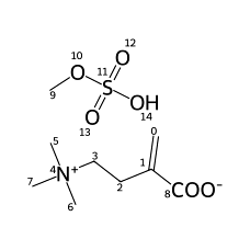 C=C(CC[N+](C)(C)C)C(=O)[O-].COS(=O)(=O)O